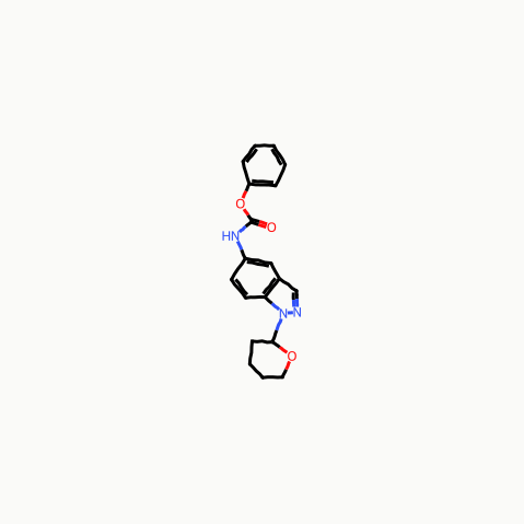 O=C(Nc1ccc2c(cnn2C2CCCCO2)c1)Oc1ccccc1